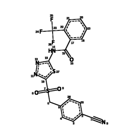 N#Cc1ccc(CS(=O)(=O)c2nnc(NC(=O)c3ccccc3C(F)(F)F)s2)cc1